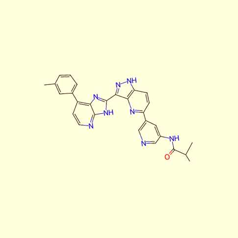 Cc1cccc(-c2ccnc3[nH]c(-c4n[nH]c5ccc(-c6cncc(NC(=O)C(C)C)c6)nc45)nc23)c1